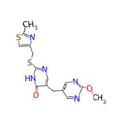 COc1ncc(Cc2cnc(SCc3csc(C)n3)[nH]c2=O)cn1